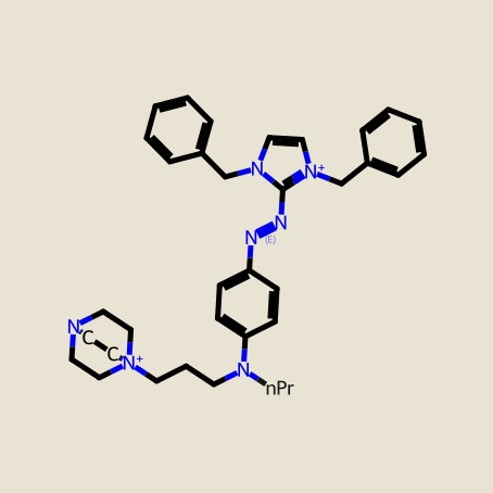 CCCN(CCC[N+]12CCN(CC1)CC2)c1ccc(/N=N/c2n(Cc3ccccc3)cc[n+]2Cc2ccccc2)cc1